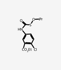 CCOC(=O)c1cc(NC(=O)SOC(C)C)ccc1Cl